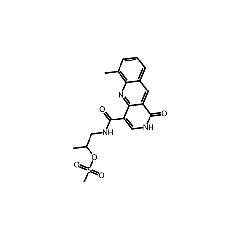 Cc1cccc2cc3c(=O)[nH]cc(C(=O)NCC(C)OS(C)(=O)=O)c3nc12